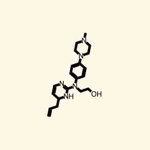 C=CCC1C=CN=C(N(CCO)c2ccc(N3CCN(C)CC3)cc2)N1